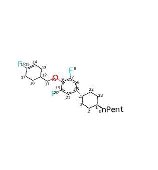 CCCCC[C@H]1CC[C@H](c2cc(F)c(OCC3CC=C(F)CC3)c(F)c2)CC1